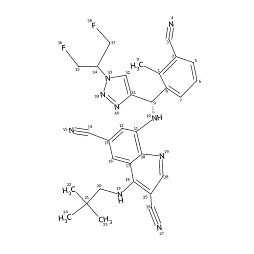 Cc1c(C#N)cccc1[C@H](Nc1cc(C#N)cc2c(NCC(C)(C)C)c(C#N)cnc12)c1cn(C(CF)CF)nn1